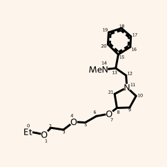 CCOCCOCCOC1CCN(CC(NC)c2ccccc2)C1